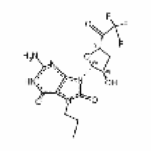 CCCn1c(=O)n([C@@H]2O[C@H](C(=O)C(F)(F)F)C[C@H]2O)c2nc(N)[nH]c(=O)c21